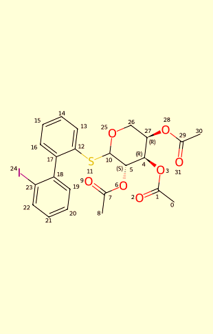 CC(=O)O[C@H]1[C@H](OC(C)=O)C(Sc2ccccc2-c2ccccc2I)OC[C@H]1OC(C)=O